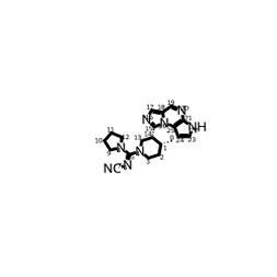 C[C@@H]1CCN(/C(=N/C#N)N2CCCC2)C[C@@H]1c1ncc2cnc3[nH]ccc3n12